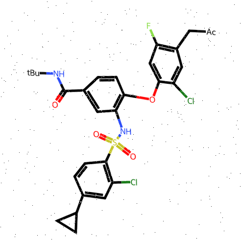 CC(=O)Cc1cc(Cl)c(Oc2ccc(C(=O)NC(C)(C)C)cc2NS(=O)(=O)c2ccc(C3CC3)cc2Cl)cc1F